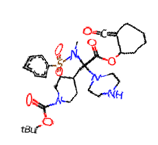 CN(C(C(=O)OC1CCCCC1=C=O)(C1CCN(C(=O)OC(C)(C)C)CC1)N1CCNCC1)S(=O)(=O)c1ccccc1